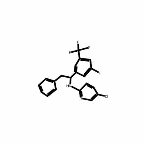 Fc1cc(C(Cc2ccccc2)Nc2ccc(Cl)cn2)cc(C(F)(F)F)c1